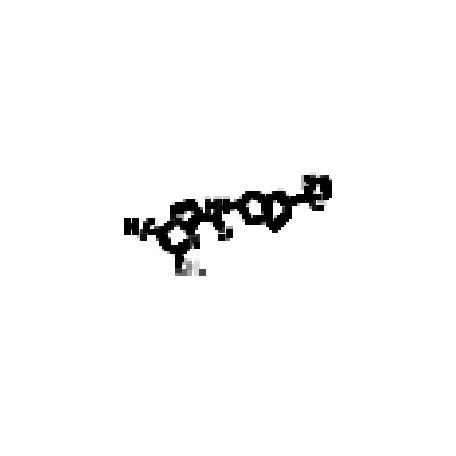 Cc1cc(C)n2ccc(C(=O)NC3Cc4ccc(-c5ncco5)cc4C3)c2n1